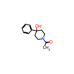 CC(=O)N1CCC(O)(c2ccccc2)CC1